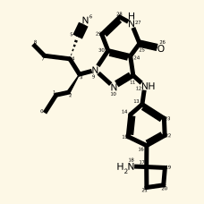 CCC[C@@H]([C@@H](C#N)CC)n1nc(Nc2ccc(C3(N)CCC3)cc2)c2c(=O)[nH]ccc21